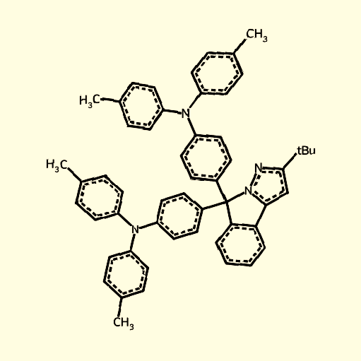 Cc1ccc(N(c2ccc(C)cc2)c2ccc(C3(c4ccc(N(c5ccc(C)cc5)c5ccc(C)cc5)cc4)c4ccccc4-c4cc(C(C)(C)C)nn43)cc2)cc1